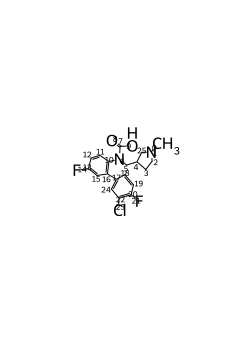 CN1CCC(CN(C(=O)O)c2ccc(F)cc2-c2ccc(F)c(Cl)c2)C1